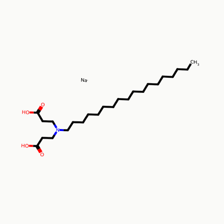 CCCCCCCCCCCCCCCCCCN(CCC(=O)O)CCC(=O)O.[Na]